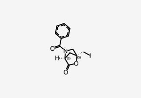 O=C1O[C@@]2(CI)C[C@@H]1N(C(=O)c1ccccc1)C2